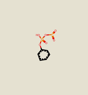 O=P(=O)OP(=O)(O)Oc1ccccc1